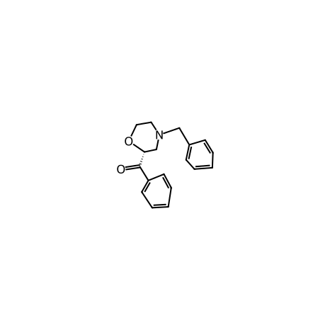 O=C(c1ccccc1)[C@H]1CN(Cc2ccccc2)CCO1